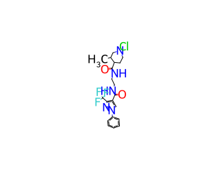 CC1CN(Cl)CCC1C(=O)NCCNC(=O)c1cn(-c2ccccc2)nc1C(F)(F)F